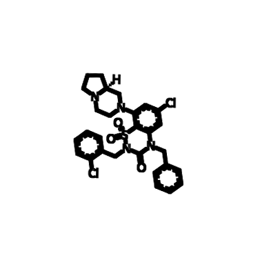 O=C1N(Cc2ccccc2)c2cc(Cl)cc(N3CCN4CCC[C@H]4C3)c2S(=O)(=O)N1Cc1ccccc1Cl